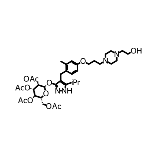 CC(=O)OC[C@H]1O[C@@H](Oc2n[nH]c(C(C)C)c2Cc2ccc(OCCCN3CCN(CCO)CC3)cc2C)[C@H](OC(C)=O)[C@@H](OC(C)=O)[C@@H]1OC(C)=O